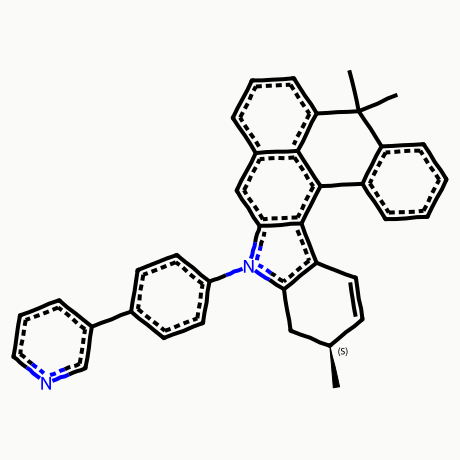 C[C@@H]1C=Cc2c(n(-c3ccc(-c4cccnc4)cc3)c3cc4cccc5c4c(c23)-c2ccccc2C5(C)C)C1